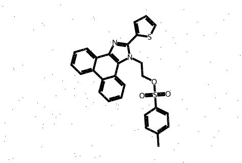 Cc1ccc(S(=O)(=O)OCCn2c(-c3cccs3)nc3c4ccccc4c4ccccc4c32)cc1